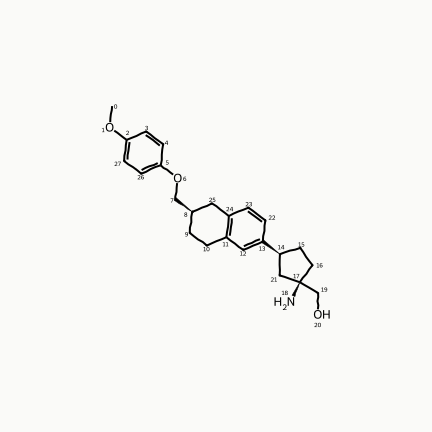 COc1ccc(OC[C@@H]2CCc3cc([C@H]4CC[C@](N)(CO)C4)ccc3C2)cc1